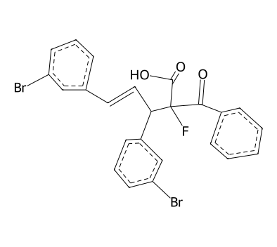 O=C(O)C(F)(C(=O)c1ccccc1)C(C=Cc1cccc(Br)c1)c1cccc(Br)c1